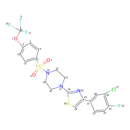 O=S(=O)(c1ccc(OC(F)(F)F)cc1)N1CCN(c2nc(-c3ccc(F)c(Cl)c3)cs2)CC1